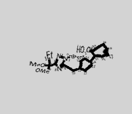 CCCCCn1nc(C(CC)(OC)OC)nc1Cc1ccc(-c2ccccc2C(=O)O)cc1